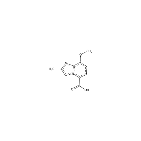 COc1ccc(C(=O)O)n2cc(C)nc12